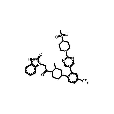 CC1CN(c2ccc(C(F)(F)F)cc2-c2cnc(N3CCC(S(C)(=O)=O)CC3)nc2)CCN1C(=O)Cn1c(=O)[nH]c2ccccc21